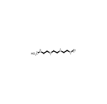 CCOCCOCCOCCOC(=O)O